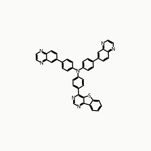 c1ccc2c(c1)sc1c(-c3ccc(N(c4ccc(-c5ccc6nccnc6c5)cc4)c4ccc(-c5ccc6nccnc6c5)cc4)cc3)ncnc12